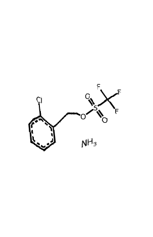 N.O=S(=O)(OCc1ccccc1Cl)C(F)(F)F